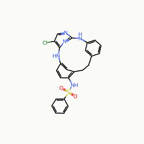 O=S(=O)(Nc1ccc2cc1CCc1cccc(c1)Nc1ncc(Cl)c(n1)N2)c1ccccc1